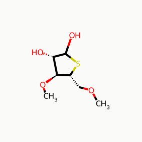 COC[C@H]1SC(O)[C@@H](O)[C@@H]1OC